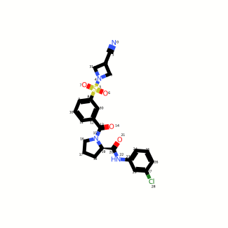 N#CC1CN(S(=O)(=O)c2cccc(C(=O)N3CCC[C@@H]3C(=O)Nc3cccc(Cl)c3)c2)C1